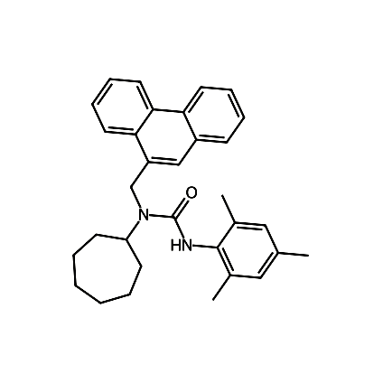 Cc1cc(C)c(NC(=O)N(Cc2cc3ccccc3c3ccccc23)C2CCCCCC2)c(C)c1